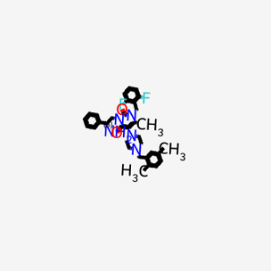 Cc1ccc(C)c(CN2CCN(c3c(C)n(Cc4c(F)cccc4F)c(=O)n(C[C@@H](N)c4ccccc4)c3=O)CC2)c1